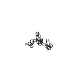 COC1CCC([C@@H]2CCN(C(=O)[C@H]3CC[C@H]([C@@H](CF)NC(=O)OC(C)(C)C)CC3)[C@@H]2C(=O)Nc2ccc3oc(C(=O)OCC4CCC4)cc3c2)CC1